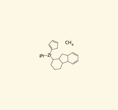 C.C[CH](C)[Zr]([C]1=CC=CC1)[CH]1CCCC2C3C=CC=CC3CC21